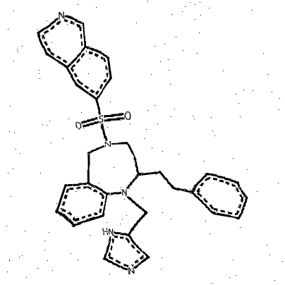 O=S(=O)(c1ccc2cnccc2c1)N1Cc2ccccc2N(Cc2cnc[nH]2)C(CCc2ccccc2)C1